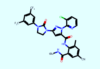 Cc1cc(C#N)cc(C(=O)NC(C)(C)C)c1NC(=O)c1cc(N2CCN(c3cc(C(F)(F)F)cc(C(F)(F)F)c3)C2=O)nn1-c1ncccc1Cl